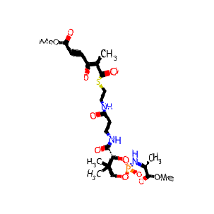 COC(=O)/C=C/C(=O)C(C)C(=O)SCCNC(=O)CCNC(=O)[C@@H]1OP(=O)(N[C@@H](C)C(=O)OC)OCC1(C)C